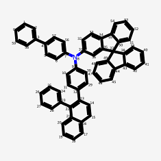 c1ccc(-c2ccc(N(c3ccc(-c4ccc5ccccc5c4-c4ccccc4)cc3)c3ccc4c(c3)C3(c5ccccc5-c5ccccc53)c3ccccc3-4)cc2)cc1